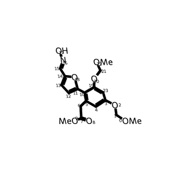 COCOc1cc(CC(=O)OC)c(-c2ccc(C=NO)o2)c(OCOC)c1